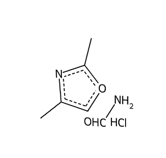 Cc1coc(C)n1.Cl.NC=O